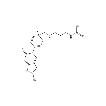 CCc1cc2cn(C3=CCC(C)(CNCCCNC(=N)N)C=C3)c(=O)nc2[nH]1